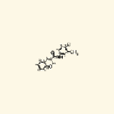 Cc1cc(NC(=O)C2=Cc3ccccc3OC2)ccc1Cl